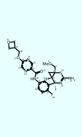 COC[C@]12C[C@H]1[C@](C)(c1cc(NC(=O)c3cnc(OCC4COC4)cn3)ccc1F)N=C(N)S2